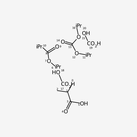 CC(C)C(=O)O.CC(C)OC(=O)C(C)C.CC(C)OC(=O)OC(C)C.O=C(O)O.O=C(O)O